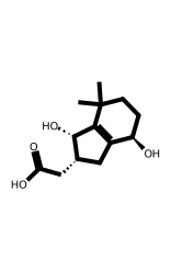 CC1(C)CC[C@@H](O)C2=C1[C@@H](O)[C@@H](CC(=O)O)C2